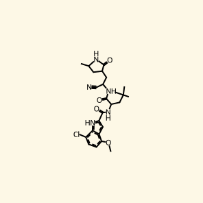 COc1ccc(Cl)c2[nH]c(C(=O)NC(CC(C)(C)C)C(=O)NC(C#N)CC3CC(C)NC3=O)cc12